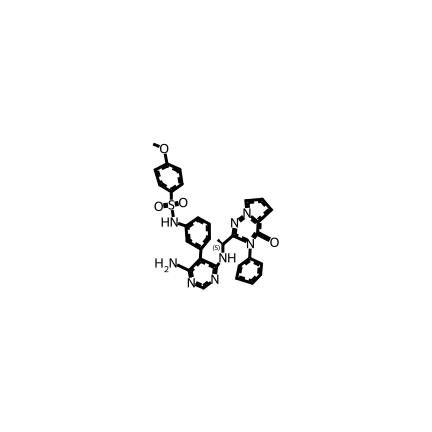 COc1ccc(S(=O)(=O)Nc2cccc(-c3c(N)ncnc3N[C@@H](C)c3nn4cccc4c(=O)n3-c3ccccc3)c2)cc1